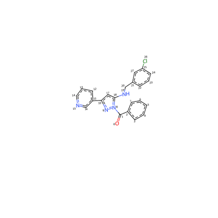 O=C(c1ccccc1)n1nc(-c2cccnc2)cc1NCc1cccc(Cl)c1